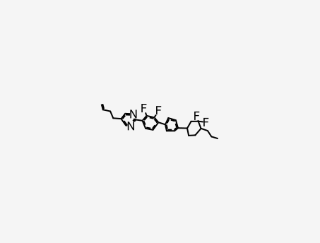 C=CCCc1cnc(-c2ccc(-c3ccc(C4CCC(CCC)C(F)(F)C4)cc3)c(F)c2F)nc1